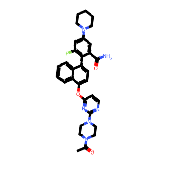 CC(=O)N1CCN(c2nccc(Oc3ccc(-c4c(F)cc(N5CCCCC5)cc4C(N)=O)c4ccccc34)n2)CC1